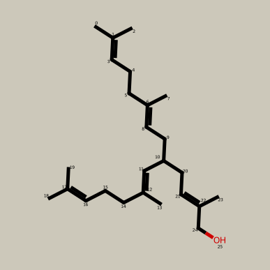 CC(C)=CCC/C(C)=C/CC(/C=C(\C)CCC=C(C)C)C/C=C(\C)CO